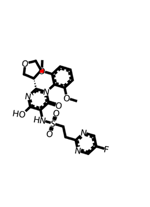 COc1cccc(OC)c1-n1c([C@H]2CCOC2)nc(O)c(NS(=O)(=O)CCc2ncc(F)cn2)c1=O